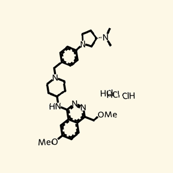 COCc1nnc(NC2CCN(Cc3ccc(N4CC[C@H](N(C)C)C4)cc3)CC2)c2cc(OC)ccc12.Cl.Cl.Cl